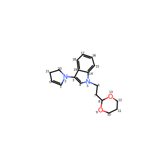 C1=CN(c2cn(CCC3OCCCO3)c3ccccc23)CC1